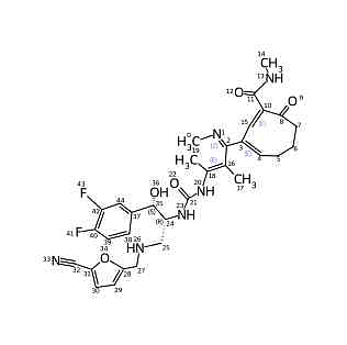 C/N=C(C1=C/CCCC(=O)/C(C(=O)NC)=C\1)\C(C)=C(/C)NC(=O)N[C@H](CNCc1ccc(C#N)o1)[C@@H](O)c1ccc(F)c(F)c1